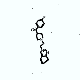 O=C(c1ccc(F)cc1)C1CCN(CCN2C=c3ccccc3=NC2)CC1